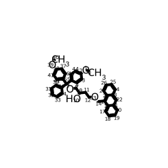 COc1ccc(C(OCC(O)CCOCc2c3ccccc3cc3ccccc23)(c2ccccc2)c2ccc(OC)cc2)cc1